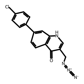 [N-]=[N+]=NCc1c[nH]c2cc(-c3ccc(Cl)cc3)ccc2c1=O